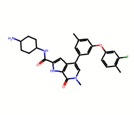 Cc1cc(Oc2ccc(C)c(F)c2)cc(-c2cn(C)c(=O)c3[nH]c(C(=O)NC4CCC(N)CC4)cc23)c1